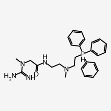 CN(CCNC(=O)CN(C)C(=N)N)CC[PH](c1ccccc1)(c1ccccc1)c1ccccc1